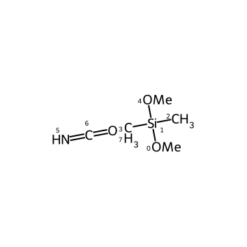 CO[Si](C)(C)OC.N=C=O